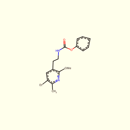 CCc1cc(CCNC(=O)Oc2ccccc2)c(OC)nc1C